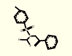 C=C(CN(C(F)F)S(=O)(=O)c1ccc(C)cc1)c1ccccc1